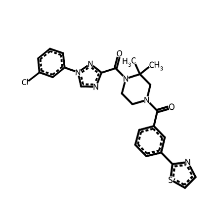 CC1(C)CN(C(=O)c2cccc(-c3nccs3)c2)CCN1C(=O)c1ncn(-c2cccc(Cl)c2)n1